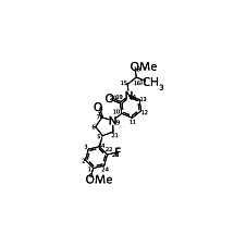 COc1ccc([C@H]2CC(=O)N(c3cccn(CC(C)OC)c3=O)C2)c(F)c1